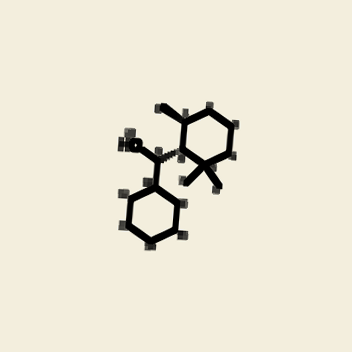 C[C@H]1CCCC(C)(C)[C@@H]1C(O)C1CCCCC1